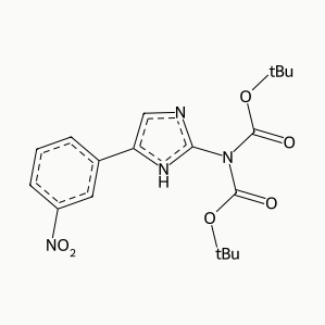 CC(C)(C)OC(=O)N(C(=O)OC(C)(C)C)c1ncc(-c2cccc([N+](=O)[O-])c2)[nH]1